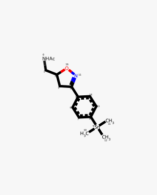 CC(=O)NCC1CC(c2cc[c]([Sn]([CH3])([CH3])[CH3])cc2)=NO1